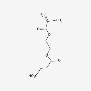 C=C(C)C(=O)OCCOC(=O)CCC(=O)O